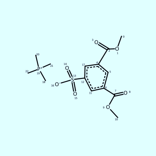 COC(=O)c1cc(C(=O)OC)cc(S(=O)(=O)[O-])c1.C[P+](C)(C)C